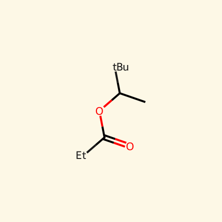 CCC(=O)OC(C)C(C)(C)C